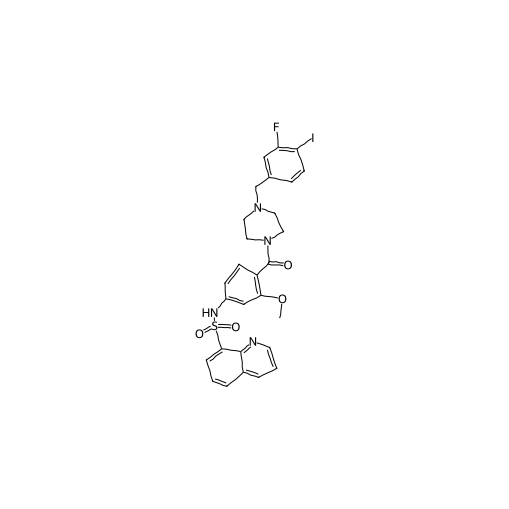 COc1cc(NS(=O)(=O)c2cccc3cccnc23)ccc1C(=O)N1CCN(Cc2ccc(I)c(F)c2)CC1